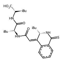 CC[C@H](C)[C@H](NC(=O)[C@@H](NC(=O)C=C1c2ccccc2C(=S)N[C@H]1[C@@H](C)CC)[C@@H](C)CC)C(=O)O